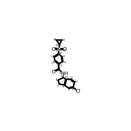 O=C(N[C@@H]1CCc2cc(Cl)ccc21)c1ccc(S(=O)(=O)C2CC2)cc1